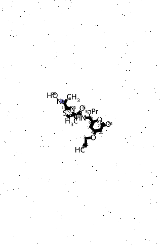 C#CCOc1cc([C@@H](CCC)NC(=O)[C@]2(C)CSC(/C(C)=N/O)=N2)oc(=O)c1